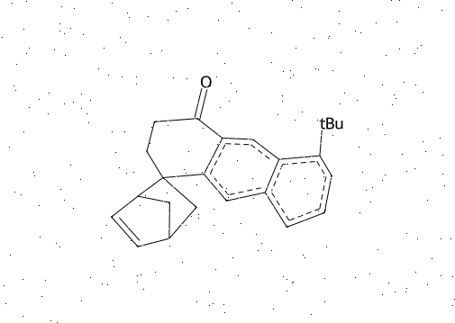 CC(C)(C)c1cccc2cc3c(cc12)C(=O)CCC31CC2C=CC1C2